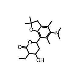 CCC1C(=O)OC(c2c(C)c(N(C)C)c(C)c3c2OC(C)(C)C3)CC1O